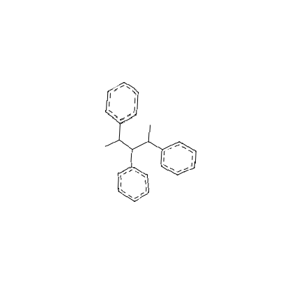 CC(c1ccccc1)C(c1ccccc1)C(C)c1ccccc1